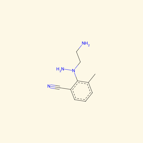 Cc1cccc(C#N)c1N(N)CCN